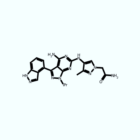 Cc1nn(CC(N)=O)cc1Nc1nc(N)c2c(-c3cccc4[nH]ncc34)nn(C(C)C)c2n1